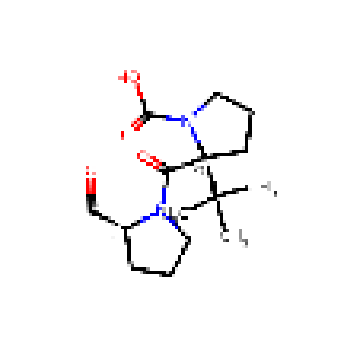 CC(C)(C)[C@]1(C(=O)N2CCC[C@H]2C=O)CCCN1C(=O)O